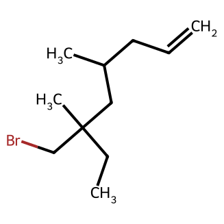 C=CCC(C)CC(C)(CC)CBr